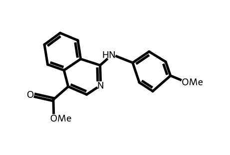 COC(=O)c1cnc(Nc2ccc(OC)cc2)c2ccccc12